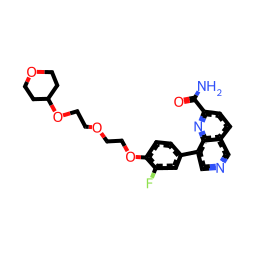 NC(=O)c1ccc2cncc(-c3ccc(OCCOCCOC4CCOCC4)c(F)c3)c2n1